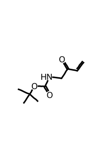 C=CC(=O)CNC(=O)OC(C)(C)C